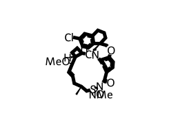 CN[S@@]1(=O)=NC(=O)c2ccc3c(c2)N(C[C@@H]2CC[C@H]2[C@@H](OC)/C=C/C[C@H](C)C1)C[C@@]1(CCCc2cc(Cl)ccc21)CO3